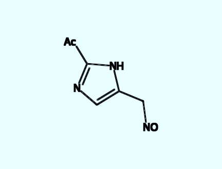 CC(=O)c1ncc(CN=O)[nH]1